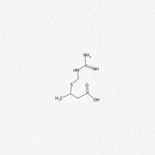 CC(CC(=O)O)SCNC(=N)N